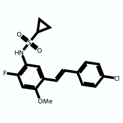 COc1cc(F)c(NS(=O)(=O)C2CC2)cc1C=Cc1ccc(Cl)cc1